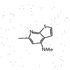 CNc1cc(C)nc2sccc12